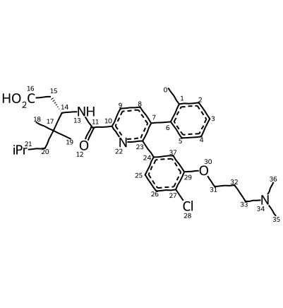 Cc1ccccc1-c1ccc(C(=O)N[C@@H](CC(=O)O)C(C)(C)CC(C)C)nc1-c1ccc(Cl)c(OCCCN(C)C)c1